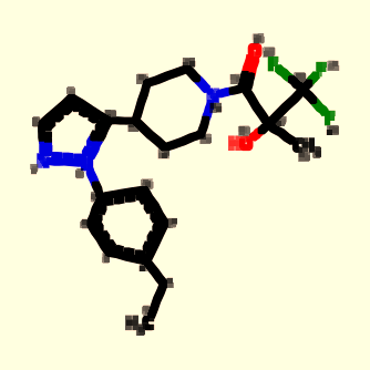 CCc1ccc(-n2nccc2C2CCN(C(=O)C(C)(O)C(F)(F)F)CC2)cc1